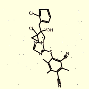 Cc1c(C)c(Sc2ncnn2CC(O)(Cc2ccccc2Cl)C2(Cl)CC2)c(C#N)c(C)c1C#N